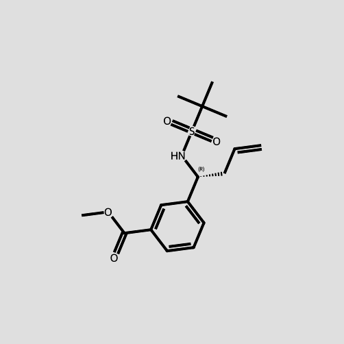 C=CC[C@@H](NS(=O)(=O)C(C)(C)C)c1cccc(C(=O)OC)c1